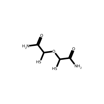 NC(=O)C(S)OC(S)C(N)=O